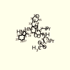 CC(C)C[C@@H](/C=C/S(C)(=O)=O)NC(=O)[C@H](CC(C)C)NC(=O)[C@H](Cc1c[nH]c2ccccc12)NC(=O)CN1CCOCC1